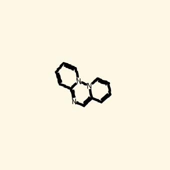 C1=CC2=CN=C3C=CC=CN3N2C=C1